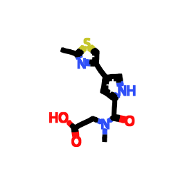 Cc1nc(-c2c[nH]c(C(=O)N(C)CC(=O)O)c2)cs1